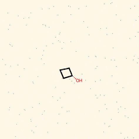 O[C@@H]1[CH]CC1